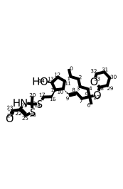 CCCCCC(C)(C/C=C/[C@H]1CC[C@H](O)[C@@H]1CCSC1(C)NC([C]=O)=CS1)OC1CCCCO1